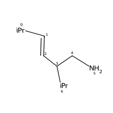 CC(C)C=CC(CN)C(C)C